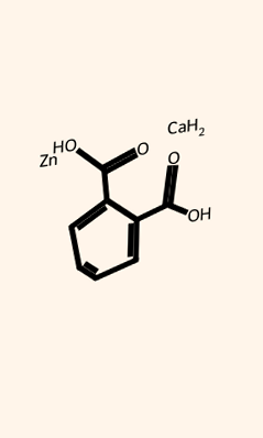 O=C(O)c1ccccc1C(=O)O.[CaH2].[Zn]